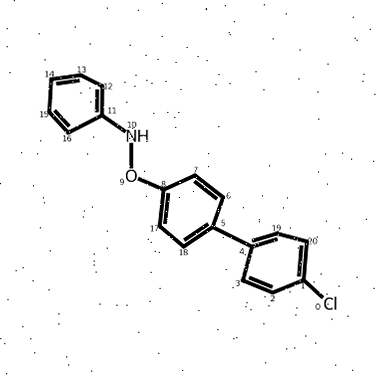 Clc1ccc(-c2ccc(ONc3ccccc3)cc2)cc1